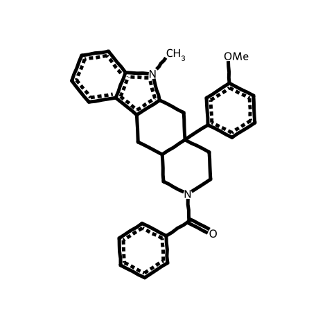 COc1cccc(C23CCN(C(=O)c4ccccc4)CC2Cc2c(n(C)c4ccccc24)C3)c1